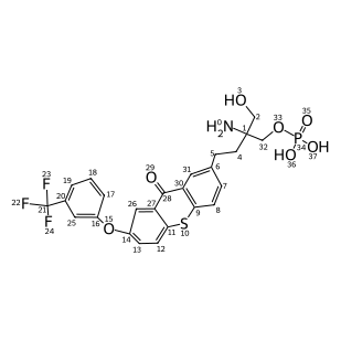 NC(CO)(CCc1ccc2sc3ccc(Oc4cccc(C(F)(F)F)c4)cc3c(=O)c2c1)COP(=O)(O)O